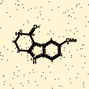 COc1ccc2[nH]c3c(c2c1)C(=O)NCC3